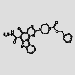 NNC(=O)c1c(=O)c2cnc(N3CCN(C(=O)OCc4ccccc4)CC3)nc2n2c1sc1ccccc12